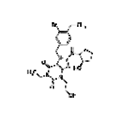 CCc1ccc(Cn2c(N[C@@H]3CCC[C@H]3O)nc3c2c(=O)n(CC)c(=O)n3CCO)cc1Br